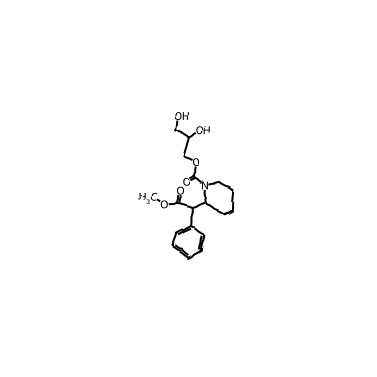 COC(=O)C(c1ccccc1)C1CCCCN1C(=O)OCC(O)CO